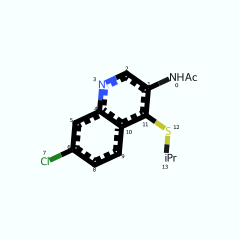 CC(=O)Nc1cnc2cc(Cl)ccc2c1SC(C)C